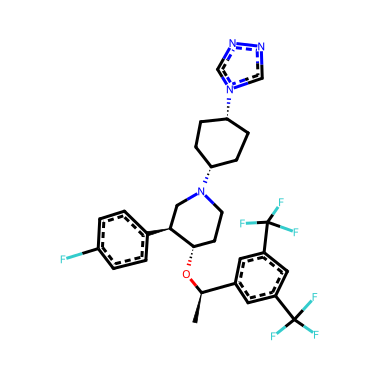 C[C@@H](O[C@H]1CCN([C@H]2CC[C@@H](n3cnnc3)CC2)C[C@@H]1c1ccc(F)cc1)c1cc(C(F)(F)F)cc(C(F)(F)F)c1